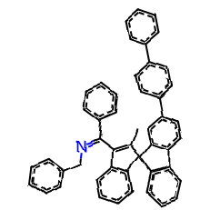 CC1=C(/C(=N\Cc2ccccc2)c2ccccc2)c2ccccc2C12c1ccccc1-c1ccc(-c3ccc(-c4ccccc4)cc3)cc12